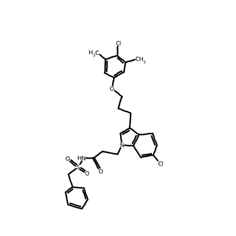 Cc1cc(OCCCc2cn(CCC(=O)NS(=O)(=O)Cc3ccccc3)c3cc(Cl)ccc23)cc(C)c1Cl